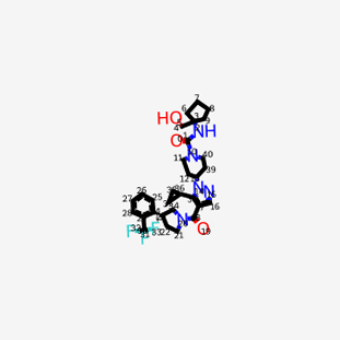 O=C(NC1(CO)CCCC1)N1CCC(n2ncc(C(=O)N3CC[C@@H](c4ccccc4C(F)(F)F)C3)c2C2CC2)CC1